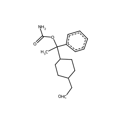 CC(OC(N)=O)(c1ccccc1)C1CCC(CC=O)CC1